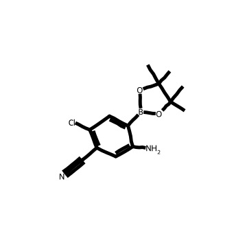 CC1(C)OB(c2cc(Cl)c(C#N)cc2N)OC1(C)C